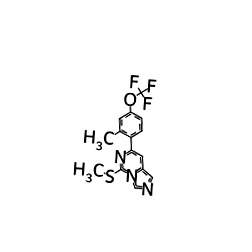 CSc1nc(-c2ccc(OC(F)(F)F)cc2C)cc2cncn12